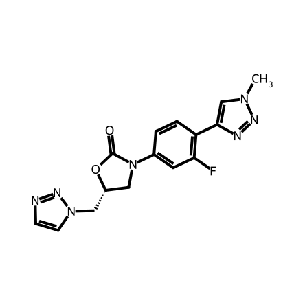 Cn1cc(-c2ccc(N3C[C@H](Cn4ccnn4)OC3=O)cc2F)nn1